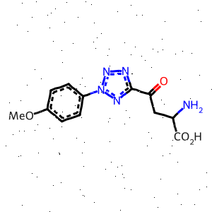 COc1ccc(-n2nnc(C(=O)CC(N)C(=O)O)n2)cc1